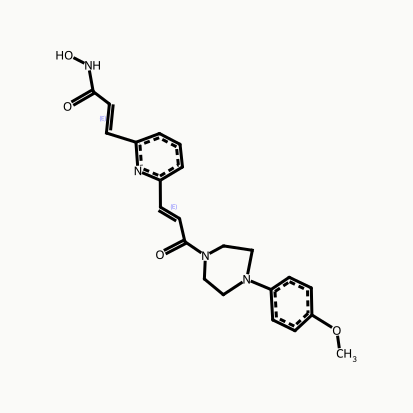 COc1ccc(N2CCN(C(=O)/C=C/c3cccc(/C=C/C(=O)NO)n3)CC2)cc1